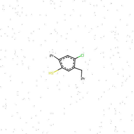 CC(C)Cc1cc(S)c(C(C)C)cc1Cl